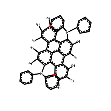 [2H]c1c([2H])c([2H])c2c(c1[2H])c1c([2H])c([2H])c(N(c3ccccc3)c3ccccc3)c3c4c([2H])c([2H])c([2H])c([2H])c4c4c([2H])c([2H])c(N(c5ccccc5)c5ccccc5)c2c4c13